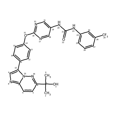 CC(C)(O)c1ccc2ncc(-c3ccc(Oc4ncc(NC(=O)Nc5cccc(C(F)(F)F)c5)cn4)cc3)n2n1